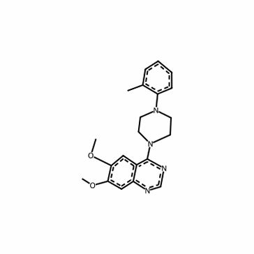 COc1cc2ncnc(N3CCN(c4ccccc4C)CC3)c2cc1OC